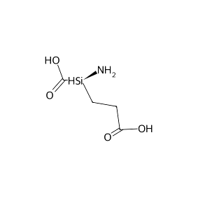 N[Si@@H](CCC(=O)O)C(=O)O